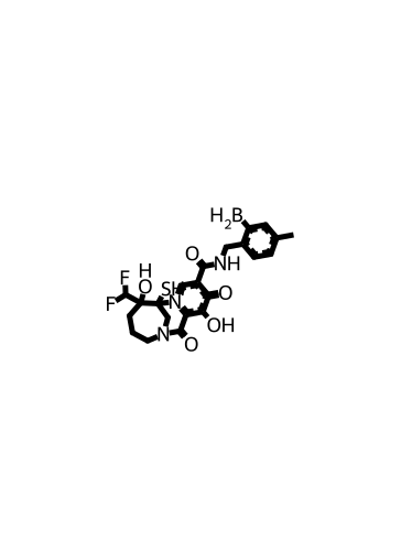 Bc1cc(C)ccc1CNC(=O)c1cn2c(c(O)c1=O)C(=O)N1CCCC(O)(C(F)F)C2(S)C1